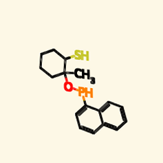 CC1(OPc2cccc3ccccc23)CCCCC1S